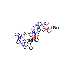 CC(C)(C)c1ccc2c(c1)c1ccccc1n2-c1cccc2c1c1cccc3c4c(-n5c6ccccc6c6cc(C(C)(C)Cc7cccc(N(c8cccc9c8oc8c(C(C)(C)C)cccc89)c8cccc9c8c8cccc%10c%11c(N(c%12ccccc%12)c%12cccc%13c%12oc%12c(C(C)(C)C)cccc%12%13)cccc%11n9c%108)c7)ccc65)cccc4n2c13